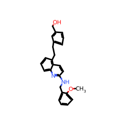 COc1ccccc1CNc1ccc2c(CCc3cccc(CO)c3)cccc2n1